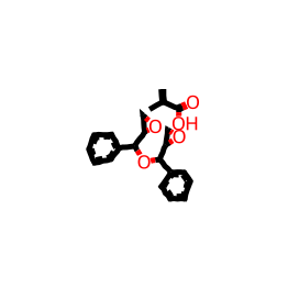 C=C(C)C(=O)O.c1ccc(C(OC(c2ccccc2)C2CO2)C2CO2)cc1